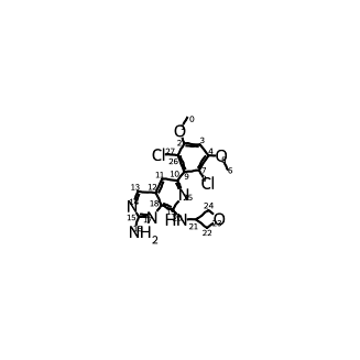 COc1cc(OC)c(Cl)c(-c2cc3cnc(N)nc3c(NC3COC3)n2)c1Cl